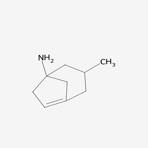 CC1CC2=CCC(N)(C2)C1